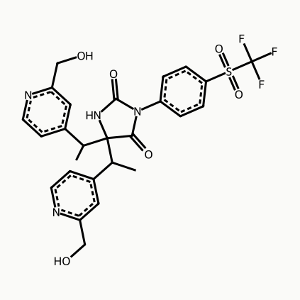 CC(c1ccnc(CO)c1)C1(C(C)c2ccnc(CO)c2)NC(=O)N(c2ccc(S(=O)(=O)C(F)(F)F)cc2)C1=O